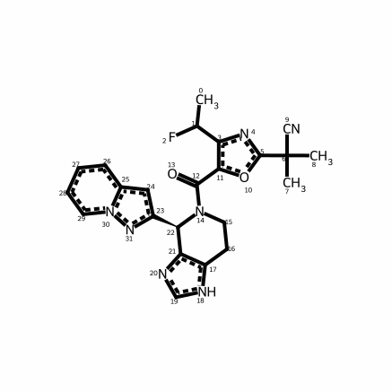 CC(F)c1nc(C(C)(C)C#N)oc1C(=O)N1CCc2[nH]cnc2[C@H]1c1cc2ccccn2n1